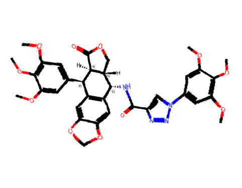 COc1cc([C@@H]2c3cc4c(cc3[C@@H](NC(=O)c3cn(-c5cc(OC)c(OC)c(OC)c5)nn3)[C@H]3COC(=O)[C@H]23)OCO4)cc(OC)c1OC